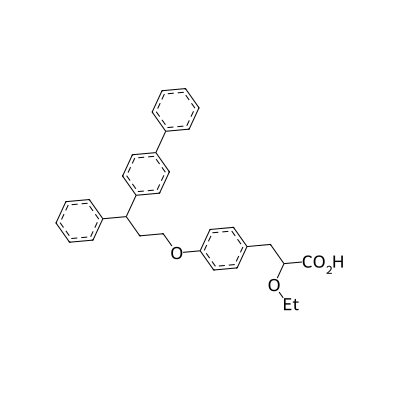 CCOC(Cc1ccc(OCCC(c2ccccc2)c2ccc(-c3ccccc3)cc2)cc1)C(=O)O